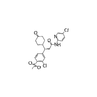 CS(=O)(=O)c1ccc([C@H](CC(=O)Nc2ccc(Cl)cn2)C2CCC(=O)CC2)cc1Cl